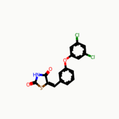 O=C1NC(=O)/C(=C\c2cccc(Oc3cc(Cl)cc(Cl)c3)c2)S1